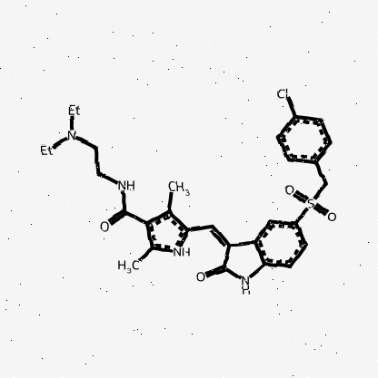 CCN(CC)CCNC(=O)c1c(C)[nH]c(/C=C2\C(=O)Nc3ccc(S(=O)(=O)Cc4ccc(Cl)cc4)cc32)c1C